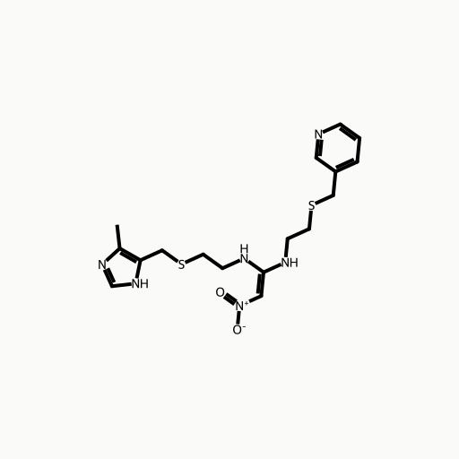 Cc1nc[nH]c1CSCCNC(=C[N+](=O)[O-])NCCSCc1cccnc1